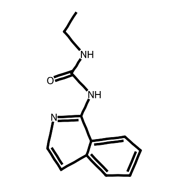 CCNC(=O)Nc1nccc2ccccc12